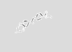 CCOC(=O)c1ccc(/C=C(\C)c2ccc3c(c2)SCC(C)CS3)cc1